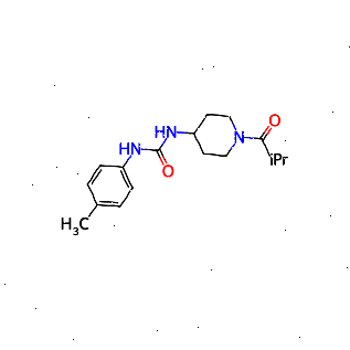 Cc1ccc(NC(=O)NC2CCN(C(=O)C(C)C)CC2)cc1